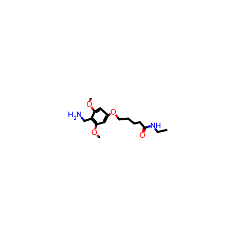 CCNC(=O)CCCCOc1cc(OC)c(CN)c(OC)c1